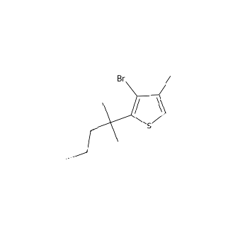 CCCC(C)(C)c1scc(C)c1Br